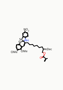 C=C(C)C(=O)OCC(CCCCCCCCCC)CCCCCCCC1=Cc2c(ccc(OC)c2OC)[Se]C12Nc1ccc([N+](=O)[O-])cc1[Se]2